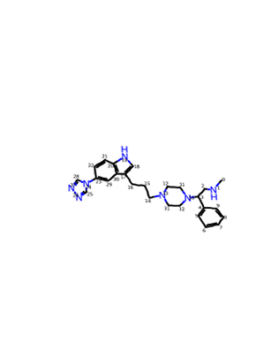 CNCC(c1ccccc1)N1CCN(CCCc2c[nH]c3ccc(-n4cnnc4)cc23)CC1